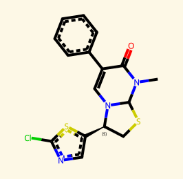 CN1C(=O)C(c2ccccc2)=CN2C1SC[C@H]2c1cnc(Cl)s1